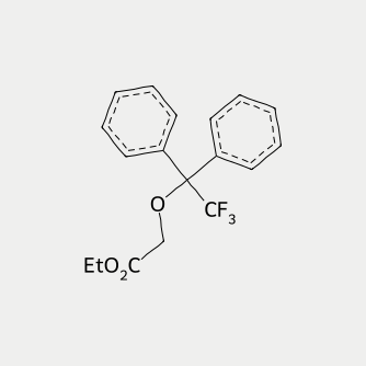 CCOC(=O)COC(c1ccccc1)(c1ccccc1)C(F)(F)F